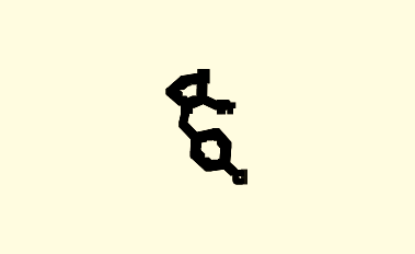 CC(C)c1nccn1Cc1ccc(Cl)cc1